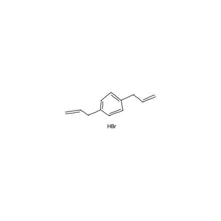 Br.C=CCc1ccc(CC=C)cc1